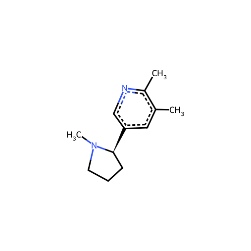 Cc1cc([C@H]2CCCN2C)cnc1C